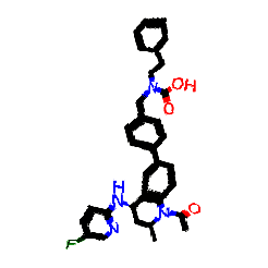 CC(=O)N1c2ccc(-c3ccc(CN(CCc4ccccc4)C(=O)O)cc3)cc2[C@H](Nc2ccc(F)cn2)C[C@@H]1C